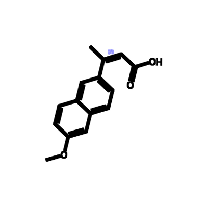 COc1ccc2cc(/C(C)=C\C(=O)O)ccc2c1